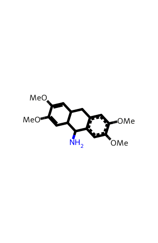 COC1=CC2Cc3cc(OC)c(OC)cc3C(N)C2C=C1OC